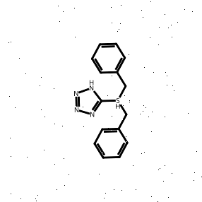 c1ccc(C[SH](Cc2ccccc2)c2nnn[nH]2)cc1